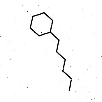 CCCCCCC1[CH]CC[CH]C1